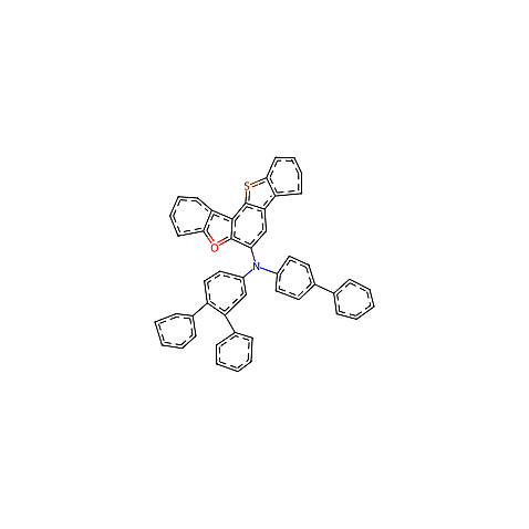 c1ccc(-c2ccc(N(c3ccc(-c4ccccc4)c(-c4ccccc4)c3)c3cc4c5ccccc5sc4c4c3oc3ccccc34)cc2)cc1